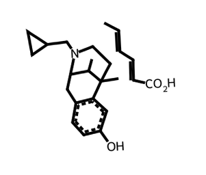 CC1C2Cc3ccc(O)cc3C1(C)CCN2CC1CC1.CC=CC=CC(=O)O